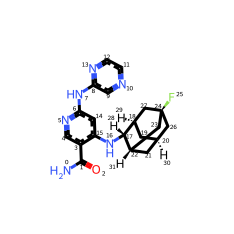 NC(=O)c1cnc(Nc2cnccn2)cc1N[C@@H]1[C@@H]2C[C@@H]3C[C@H]1C[C@@](F)(C3)C2